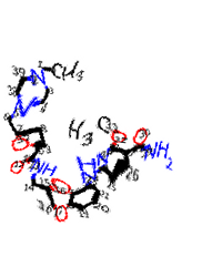 CCN1CCN(Cc2ccc(C(=O)NCC3COc4cccc(Nc5ccc(C(N)=O)c(OC)n5)c4O3)o2)CC1